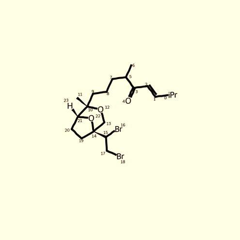 CC(C)/C=C/C(=O)C(C)CCC[C@]1(C)OC[C@]2(C(Br)CBr)CC[C@H]1O2